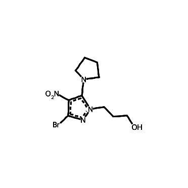 O=[N+]([O-])c1c(Br)nn(CCCO)c1N1CCCC1